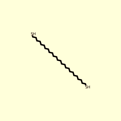 SCCCCCCCCCCCCCCCCCCCCCCCCCCS